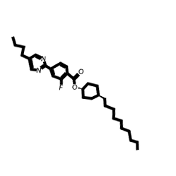 CCCCCCCCCC[C@H]1CC[C@H](OC(=O)c2ccc(-c3ncc(CCCC)cn3)cc2F)CC1